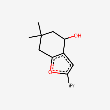 CC(C)c1cc2c(o1)CC(C)(C)CC2O